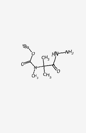 CN(C(=O)OC(C)(C)C)C(C)(C)C(=O)NN